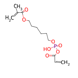 C=CC(=O)OP(=O)(O)OCCCCCCOC(=O)C(=C)C